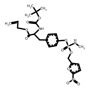 C=CCOC(=O)C(Cc1ccc(OP(=O)(NC)OCc2ccc([N+](=O)[O-])o2)cc1)NC(=O)OC(C)(C)C